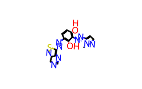 Cn1nccc1/N=N/c1c(O)ccc(/N=N/c2snc3cncnc23)c1O